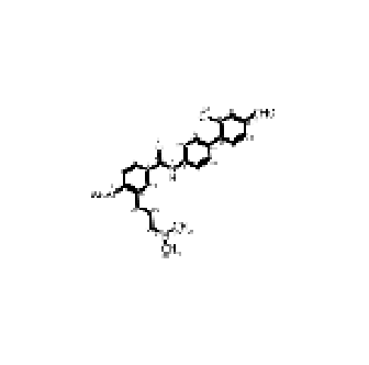 COc1ccc(C(=O)Nc2ccc(-c3ccc(C=O)cc3Cl)cc2)cc1CCCN(C)C